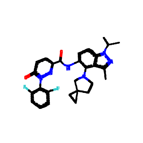 Cc1nn(C(C)C)c2ccc(NC(=O)c3ccc(=O)n(-c4c(F)cccc4F)n3)c(N3CCC4(CC4)C3)c12